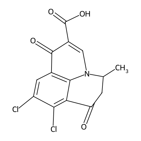 CC1CC(=O)c2c(Cl)c(Cl)cc3c(=O)c(C(=O)O)cn1c23